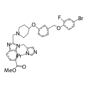 COC(=O)c1ccc2nc(CN3CCC(Oc4cccc(COc5ccc(Br)cc5F)c4)CC3)n(Cc3cncn3C(C)C)c2c1